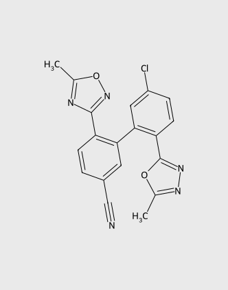 Cc1nc(-c2ccc(C#N)cc2-c2cc(Cl)ccc2-c2nnc(C)o2)no1